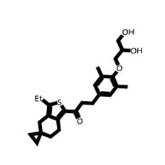 CCc1sc(C(=O)CCc2cc(C)c(OCC(O)CO)c(C)c2)c2c1CC1(CC2)CC1